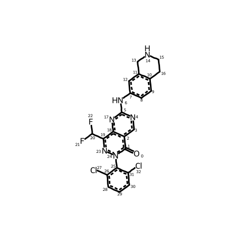 O=c1c2cnc(Nc3ccc4c(c3)CNCC4)nc2c(C(F)F)nn1-c1c(Cl)cccc1Cl